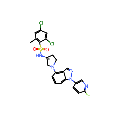 Cc1cc(Cl)cc(Cl)c1S(=O)(=O)N[C@H]1CCN(c2cccc3c2cnn3-c2ccc(F)nc2)C1